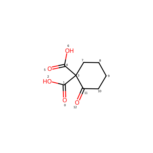 O=C(O)C1(C(=O)O)CCCCC1=O